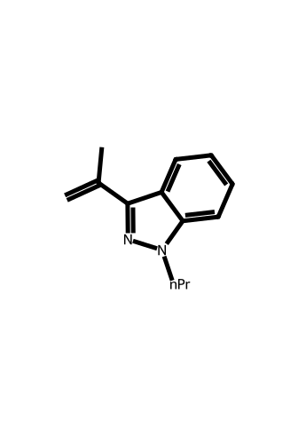 C=C(C)c1nn(CCC)c2ccccc12